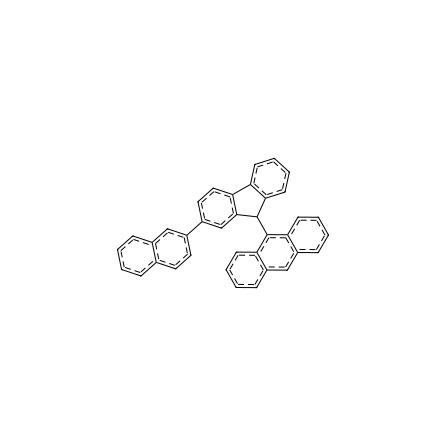 c1ccc2c(c1)-c1ccc(-c3ccc4ccccc4c3)cc1C2c1c2ccccc2cc2ccccc12